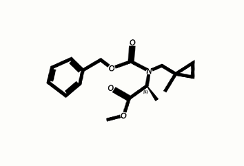 COC(=O)[C@H](C)N(CC1(C)CC1)C(=O)OCc1ccccc1